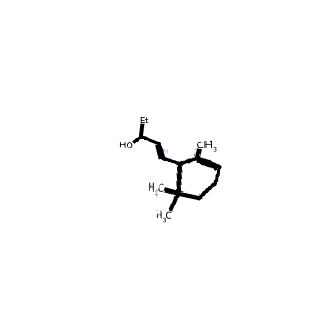 CCC(O)/C=C/C1C(C)=CCCC1(C)C